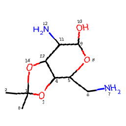 CC1(C)OC2C(CN)OC(O)C(N)C2O1